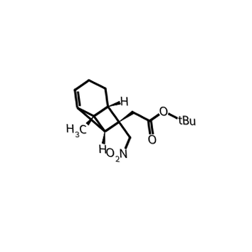 CC(C)(C)OC(=O)C[C@]1(C[N+](=O)[O-])[C@H]2CCC=C3[C@@H]1[C@]32C